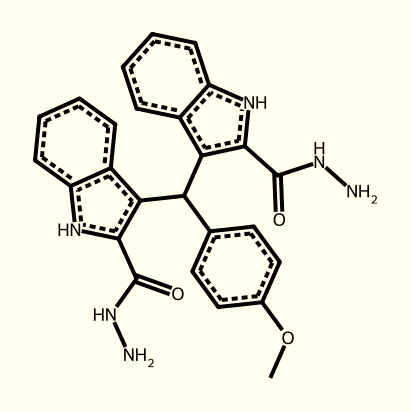 COc1ccc(C(c2c(C(=O)NN)[nH]c3ccccc23)c2c(C(=O)NN)[nH]c3ccccc23)cc1